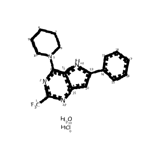 Cl.FC(F)(F)c1nc(N2CCCCC2)c2[nH]c(-c3ccccc3)cc2n1.O